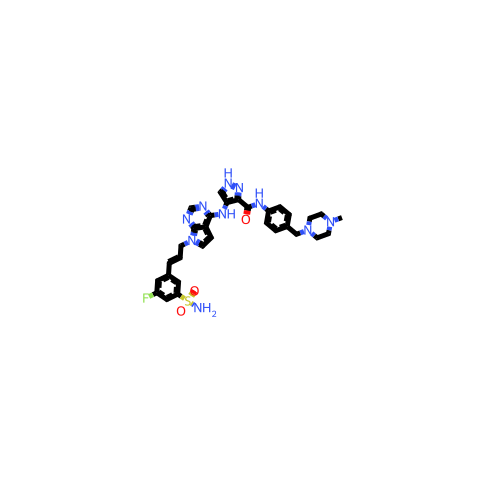 CN1CCN(Cc2ccc(NC(=O)c3n[nH]cc3Nc3ncnc4c3ccn4C/C=C/c3cc(F)cc(S(N)(=O)=O)c3)cc2)CC1